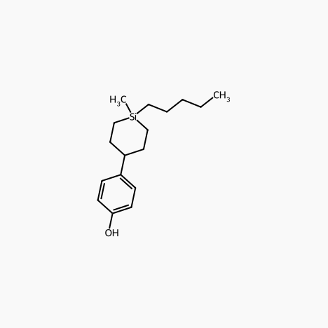 CCCCC[Si]1(C)CCC(c2ccc(O)cc2)CC1